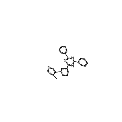 Cc1ccncc1-c1cccc(-c2nc(-c3ccccc3)nc(-c3ccccc3)n2)c1